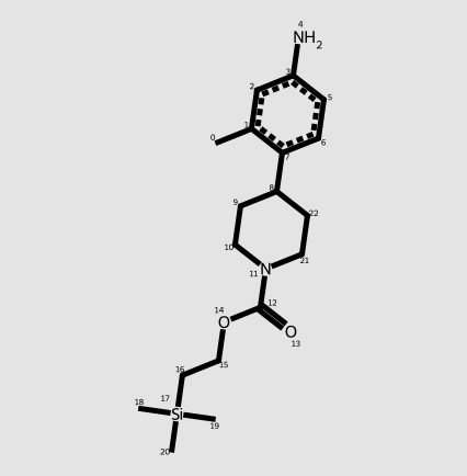 Cc1cc(N)ccc1C1CCN(C(=O)OCC[Si](C)(C)C)CC1